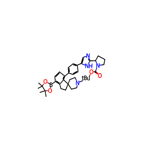 CN1CCC2(CCc3c(B4OC(C)(C)C(C)(C)O4)ccc(-c4ccc(-c5cnc(C6CCCN6C(=O)OC(C)(C)C)[nH]5)cc4)c32)CC1